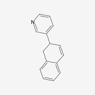 C1=CC(c2cccnc2)Cc2ccccc21